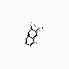 CC1C=c2cccnc2=CC1N